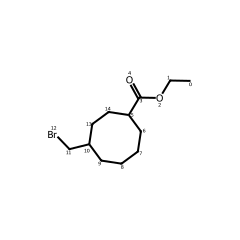 CCOC(=O)C1CCCCC(CBr)CC1